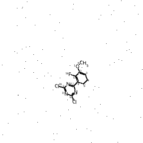 COC1=CC[CH]C(c2nc(Cl)nc(Cl)n2)=C1F